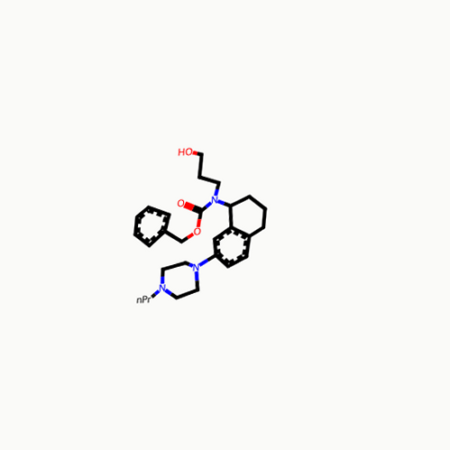 CCCN1CCN(c2ccc3c(c2)C(N(CCCO)C(=O)OCc2ccccc2)CCC3)CC1